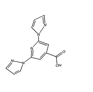 O=C(O)c1cc(-n2cccn2)nc(-n2cccn2)c1